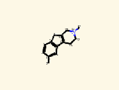 Cc1ccc2c(c1)C1=C(C2)CN(C)CC1